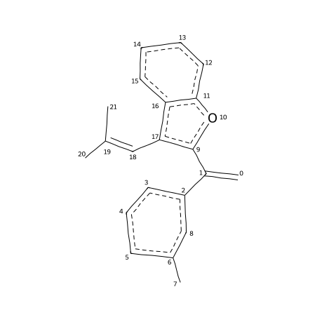 C=C(c1cccc(C)c1)c1oc2ccccc2c1C=C(C)C